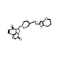 O=c1cnc2ccc(=O)n3c2n1CC3CN1CCC(NCc2cc3c(s2)CCCO3)CC1